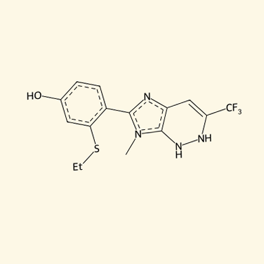 CCSc1cc(O)ccc1-c1nc2c(n1C)NNC(C(F)(F)F)=C2